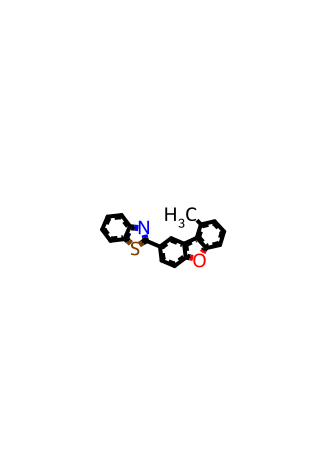 Cc1cccc2oc3ccc(-c4nc5ccccc5s4)cc3c12